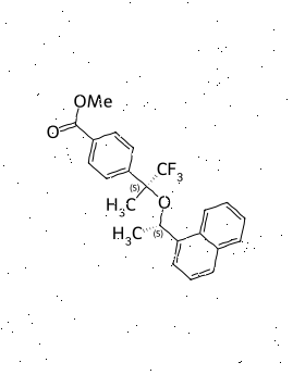 COC(=O)c1ccc([C@](C)(O[C@@H](C)c2cccc3ccccc23)C(F)(F)F)cc1